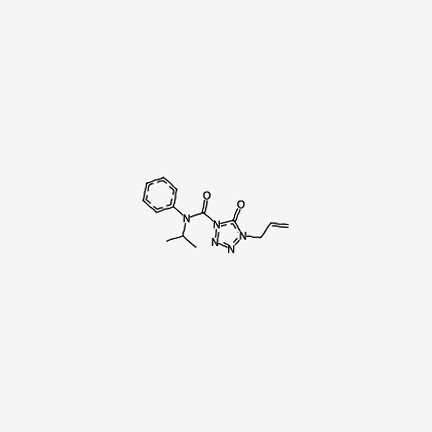 C=CCn1nnn(C(=O)N(c2ccccc2)C(C)C)c1=O